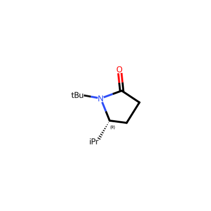 CC(C)[C@H]1CCC(=O)N1C(C)(C)C